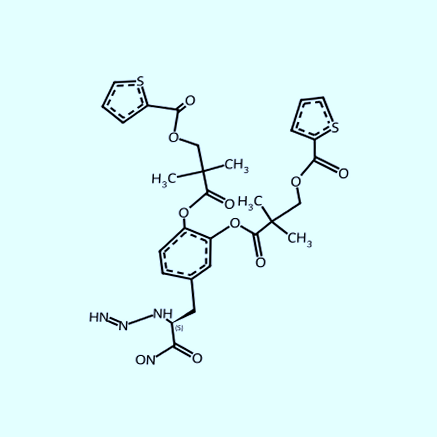 CC(C)(COC(=O)c1cccs1)C(=O)Oc1ccc(C[C@H](NN=N)C(=O)N=O)cc1OC(=O)C(C)(C)COC(=O)c1cccs1